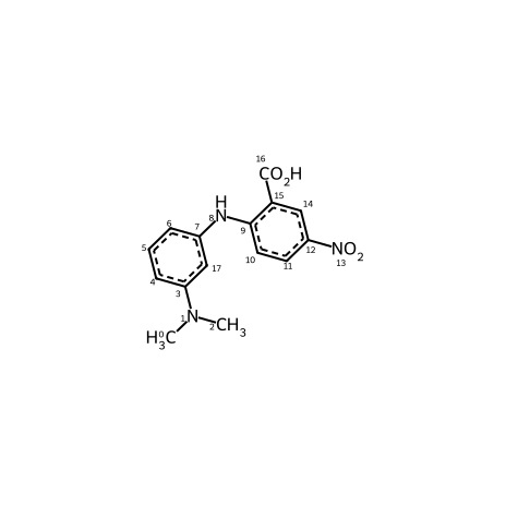 CN(C)c1cccc(Nc2ccc([N+](=O)[O-])cc2C(=O)O)c1